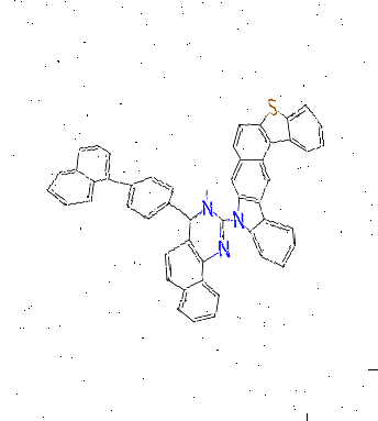 CN1C(n2c3ccccc3c3cc4c(ccc5sc6ccccc6c54)cc32)=Nc2c(ccc3ccccc23)C1c1ccc(-c2cccc3ccccc23)cc1